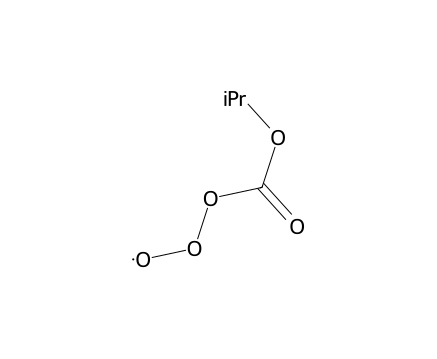 CC(C)OC(=O)OO[O]